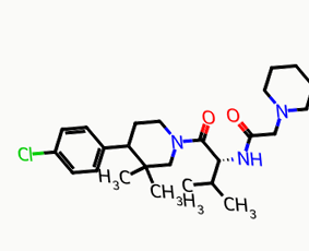 CC(C)[C@@H](NC(=O)CN1CCCCC1)C(=O)N1CCC(c2ccc(Cl)cc2)C(C)(C)C1